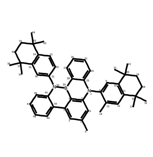 Cc1cc2c3c(c1)N(c1cc4c(cc1C)C(C)(C)CCC4(C)C)c1ccccc1B3N(c1ccc3c(c1)C(C)(C)CCC3(C)C)c1ccccc1-2